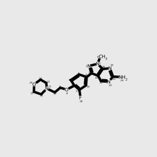 Cn1nc(-c2ccc(OCCN3CCOCC3)c(F)c2)c2cnc(N)nc21